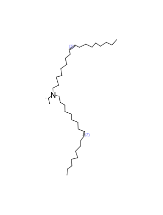 C[CH]N(CCCCCCCC/C=C\CCCCCCCC)CCCCCCCC/C=C\CCCCCCCC